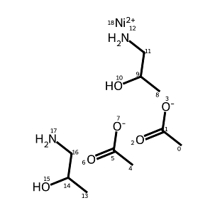 CC(=O)[O-].CC(=O)[O-].CC(O)CN.CC(O)CN.[Ni+2]